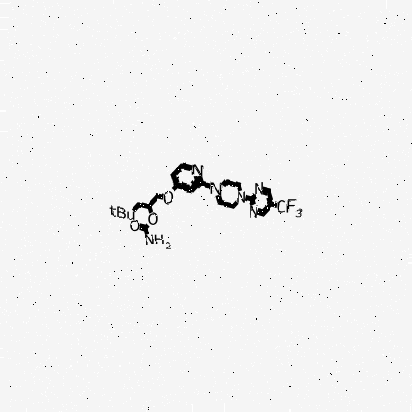 CC(C)(C)CC(COc1ccnc(N2CCN(c3ncc(C(F)(F)F)cn3)CC2)c1)OC(N)=O